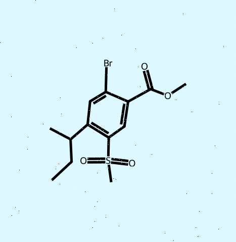 CCC(C)c1cc(Br)c(C(=O)OC)cc1S(C)(=O)=O